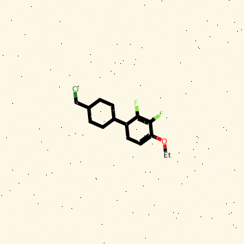 CCOC1=CCC(C2CCC(CCl)CC2)C(F)=C1F